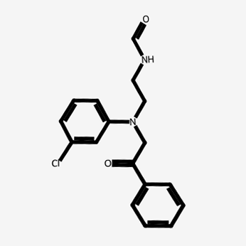 O=CNCCN(CC(=O)c1ccccc1)c1cccc(Cl)c1